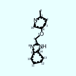 Cc1ccc(OCc2nc3ccccc3[nH]2)cn1